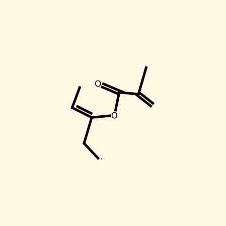 [CH2]CC(=CC)OC(=O)C(=C)C